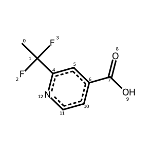 CC(F)(F)c1cc(C(=O)O)ccn1